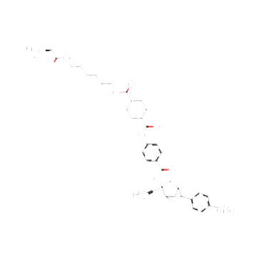 C#CC1(OC(=O)c2ccc(OC(=O)C3CCC(C(=O)OCCCCCCOC(=O)C=C)CC3)cc2)CC2CC1CC2c1ccc(CCCC)cc1